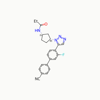 CCC(=O)N[C@H]1CC[C@@H](n2nncc2-c2ccc(-c3ccc(C#N)cc3)cc2F)C1